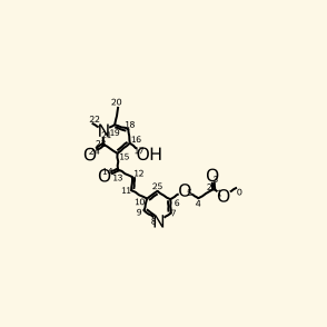 COC(=O)COc1cncc(/C=C/C(=O)c2c(O)cc(C)n(C)c2=O)c1